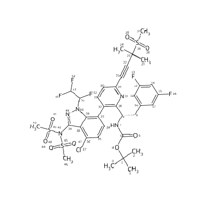 CC(C)(C)OC(=O)N[C@@H](Cc1cc(F)cc(F)c1)c1nc(C#CC(C)(C)S(C)(=O)=O)ccc1-c1ccc(Cl)c2c(N(S(C)(=O)=O)S(C)(=O)=O)nn(C(F)C(F)F)c12